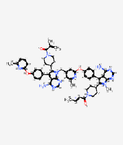 C=C(C)C(=O)N1CCC(c2c(-c3ccc(Oc4cccc(C)n4)cc3)c3c(N)ncnc3n2Cc2cc(C)nc(Oc3ccc(-c4c(C5CCN(C(=O)/C=C/C)CC5)n(C)c5ncnc(N)c45)cc3)c2)CC1